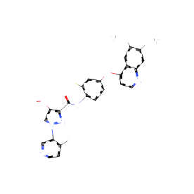 CCOc1cn(-c2cnccc2C)nc1C(=O)Nc1ccc(Oc2ccnc3cc(OC)c(OC)cc23)cc1F